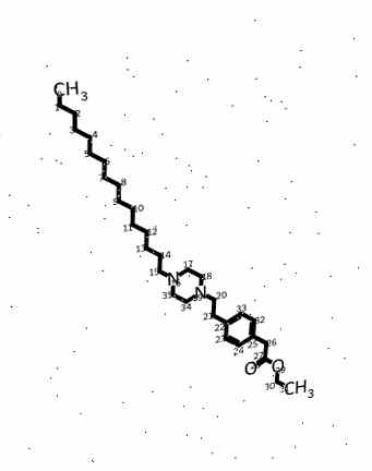 CCCCCCCCCCCCCCCCN1CCN(CCc2ccc(CC(=O)OCC)cc2)CC1